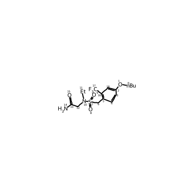 CCCCOc1ccc(CS(=O)(=O)N(CC)CC(N)=O)c(C(F)(F)F)c1